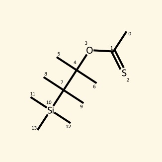 CC(=S)OC(C)(C)C(C)(C)[Si](C)(C)C